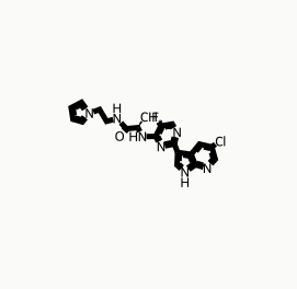 C[C@H](Nc1nc(-c2c[nH]c3ncc(Cl)cc23)ncc1F)C(=O)NCCn1cccc1